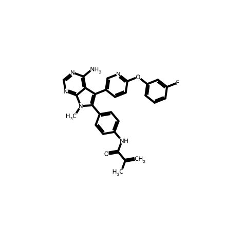 C=C(C)C(=O)Nc1ccc(-c2c(-c3ccc(Oc4cccc(F)c4)nc3)c3c(N)ncnc3n2C)cc1